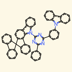 c1ccc(-c2nc(-c3cccc(-n4c5ccccc5c5ccccc54)c3)nc(-n3c4ccccc4c4ccc5c(c43)-c3ccccc3C53c4ccccc4-c4ccccc43)n2)cc1